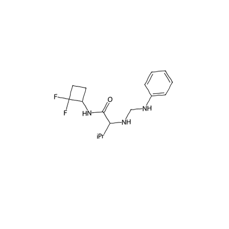 CC(C)C(NCNc1ccccc1)C(=O)NC1CCC1(F)F